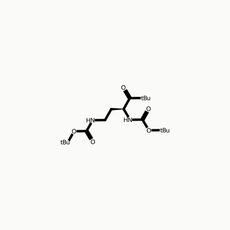 CC(C)(C)OC(=O)NCC[C@H](NC(=O)OC(C)(C)C)C(=O)C(C)(C)C